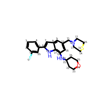 Fc1cccc(-c2cc3cc(CN4CCSCC4)cc(NC4CCOCC4)c3[nH]2)c1